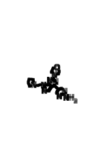 Nc1ncc(-c2nc(N3CCOCC3)nc3c2cnn3CCN2CCCC2)cn1